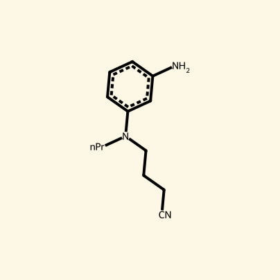 CCCN(CCCC#N)c1cccc(N)c1